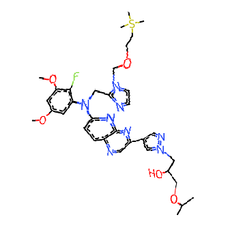 COc1cc(OC)c(F)c(N(Cc2nccn2COCCS(C)(C)C)c2ccc3ncc(-c4cnn(CC(O)COC(C)C)c4)nc3n2)c1